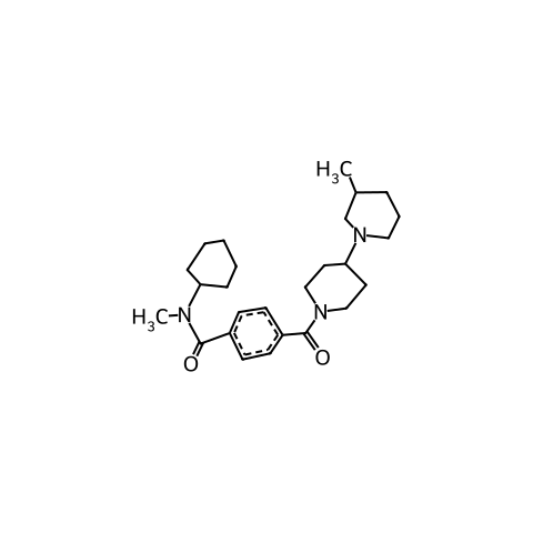 CC1CCCN(C2CCN(C(=O)c3ccc(C(=O)N(C)C4CCCCC4)cc3)CC2)C1